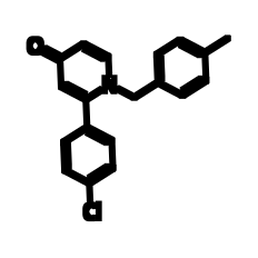 Cc1ccc(Cn2ccc(=O)cc2-c2ccc(Cl)cc2)cc1